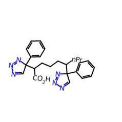 C[CH]CC(CCCC(C(=O)O)C1(c2ccccc2)C=NN=N1)C1(c2ccccc2)C=NN=N1